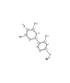 Fc1cc(CBr)ccc1-c1cc(F)c(F)c(F)c1